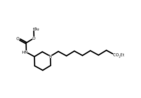 CCOC(=O)CCCCCCCN1CCCC(NC(=O)OC(C)(C)C)C1